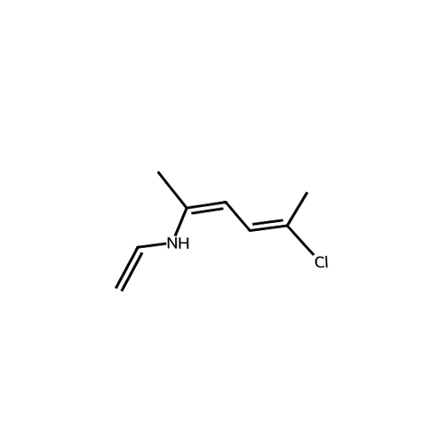 C=CN/C(C)=C\C=C(/C)Cl